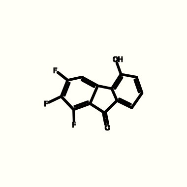 O=C1c2cccc(O)c2-c2cc(F)c(F)c(F)c21